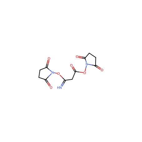 N=C(CC(=O)ON1C(=O)CCC1=O)ON1C(=O)CCC1=O